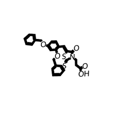 O=C(O)CCN1C(=O)C(=Cc2ccc(OCc3ccccc3)cc2OCc2ccccc2)SC1=S